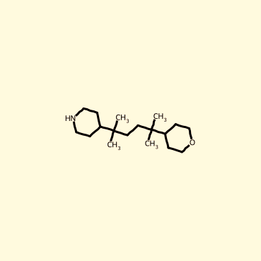 CC(C)(CCC(C)(C)C1CCOCC1)C1CCNCC1